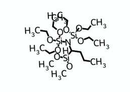 CCCC(N([Si](OCC)(OCC)OCC)[Si](OCC)(OCC)OCC)[SiH](OC)OC